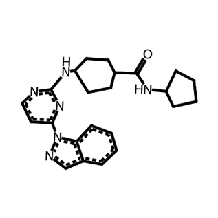 O=C(NC1CCCC1)C1CCC(Nc2nccc(-n3ncc4ccccc43)n2)CC1